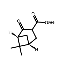 COC(=O)C1C[C@H]2C[C@@H](C1=O)C2(C)C